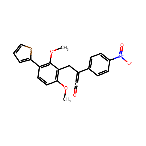 COc1ccc(-c2cccs2)c(OC)c1CC(=C=O)c1ccc([N+](=O)[O-])cc1